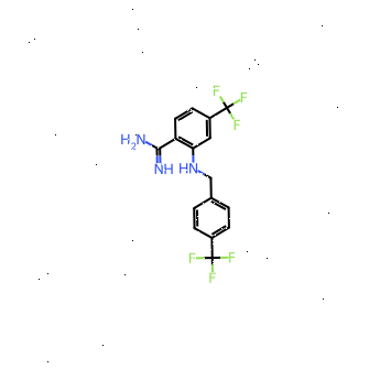 N=C(N)c1ccc(C(F)(F)F)cc1NCc1ccc(C(F)(F)F)cc1